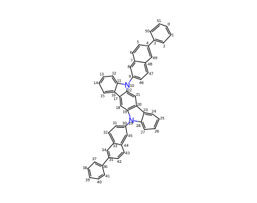 c1ccc(-c2ccc3cc(-n4c5ccccc5c5cc6c(cc54)c4ccccc4n6-c4ccc5cc(-c6ccccc6)ccc5c4)ccc3c2)cc1